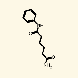 NC(=O)CCCCC(=O)Nc1ccccc1